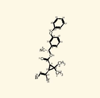 CC1(C)[C@H](C(=O)O[C@H](C#N)c2cccc(Oc3ccccc3)c2)[C@@H]1C(Br)=CBr